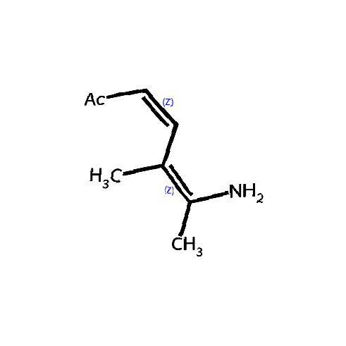 CC(=O)/C=C\C(C)=C(\C)N